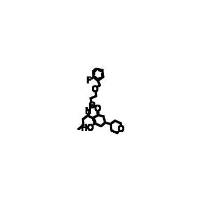 CCCC(=NOCCOCc1ccccc1F)C1=C(O)CC(C2CCOCC2)CC1=O